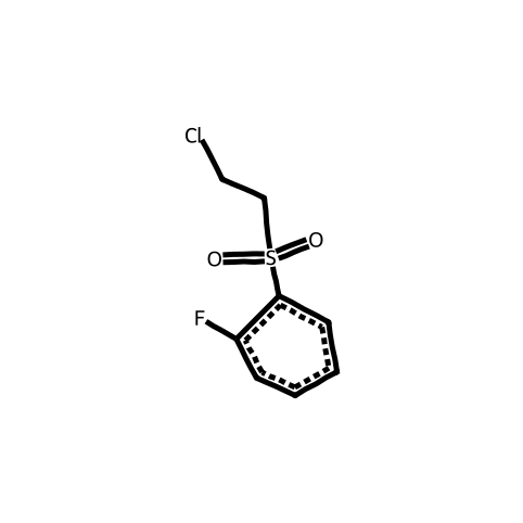 O=S(=O)(CCCl)c1ccccc1F